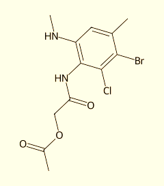 CNc1cc(C)c(Br)c(Cl)c1NC(=O)COC(C)=O